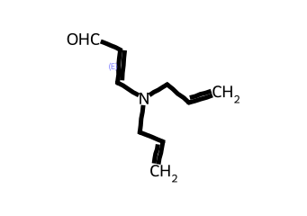 C=CCN(/C=C/C=O)CC=C